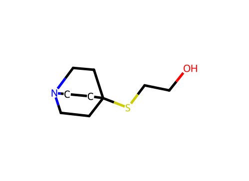 OCCSC12CCN(CC1)CC2